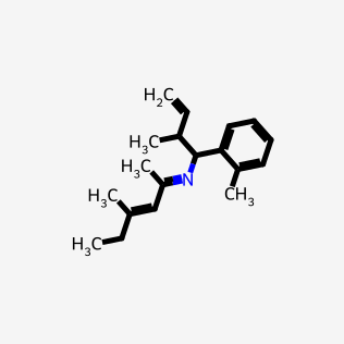 C=CC(C)C(/N=C(C)/C=C(\C)CC)c1ccccc1C